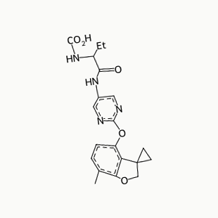 CCC(NC(=O)O)C(=O)Nc1cnc(Oc2ccc(C)c3c2C2(CC2)CO3)nc1